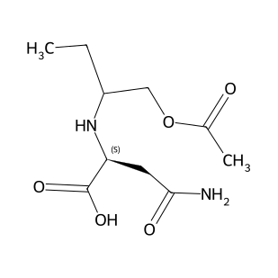 CCC(COC(C)=O)N[C@@H](CC(N)=O)C(=O)O